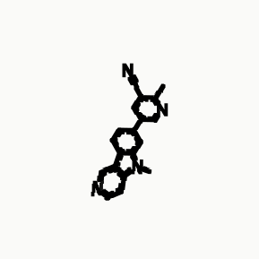 Cc1ncc(-c2ccc3c4cnccc4n(C)c3c2)cc1C#N